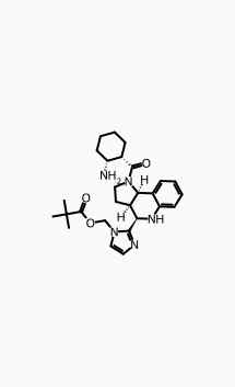 CC(C)(C)C(=O)OCn1ccnc1[C@@H]1Nc2ccccc2[C@H]2[C@@H]1CCN2C(=O)[C@H]1CCCC[C@H]1N